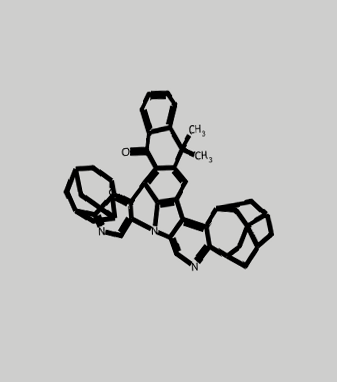 CC1(C)c2ccccc2C(=O)c2c1cc1c3c4c(ncc3n3c5cnc6c(c5c2c13)C1CC2CC(CC6C2)C1)C1CC2CC3CC4CC23C1